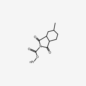 CCCOC(=O)N1C(=O)C2CCC(C)CC2C1=O